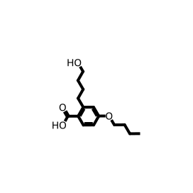 CCCCOc1ccc(C(=O)O)c(CCCCO)c1